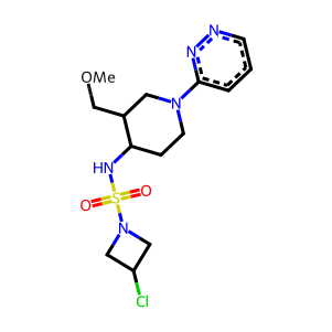 COCC1CN(c2cccnn2)CCC1NS(=O)(=O)N1CC(Cl)C1